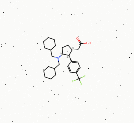 O=C(O)C[C@H]1CC[C@H](N(CC2CCCCC2)CC2CCCCC2)[C@@H]1c1ccc(C(F)(F)F)cc1